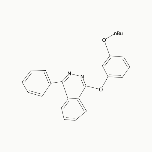 CCCCOc1cccc(Oc2nnc(-c3ccccc3)c3ccccc23)c1